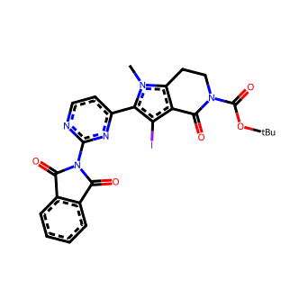 Cn1c2c(c(I)c1-c1ccnc(N3C(=O)c4ccccc4C3=O)n1)C(=O)N(C(=O)OC(C)(C)C)CC2